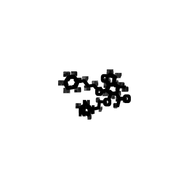 CC(=O)c1c(OCCn2cncn2)c(OCCCc2ccccc2)c2occc2c1C